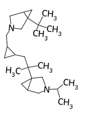 CC(C)N1CC2CC2(C(C)(C)CC2CC2CN2CC3CC3(C(C)(C)C)C2)C1